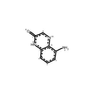 Nc1cccc2[nH]c(=O)cnc12